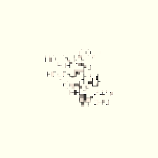 CSCC(C=O)NC(=O)[C@H](CC(C)C)NC(=O)[C@@H](N(C(=O)CCC(=O)O)C(=O)[C@H](Cc1ccccc1C)NC(=O)[C@H](CCC(=O)O)NC(=O)[C@@H](N)CC(=O)O)C(C)(C)C